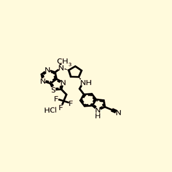 CN(c1ncnc2sc(CC(F)(F)F)nc12)[C@@H]1CC[C@H](NCc2ccc3[nH]c(C#N)cc3c2)C1.Cl